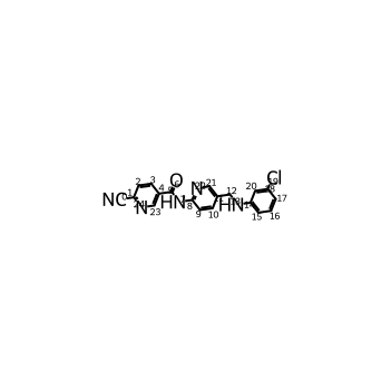 N#Cc1ccc(C(=O)Nc2ccc(CNc3cccc(Cl)c3)cn2)cn1